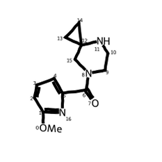 COc1cccc(C(=O)N2CCNC3(CC3)C2)n1